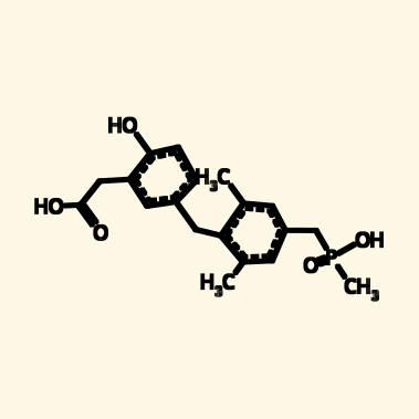 Cc1cc(CP(C)(=O)O)cc(C)c1Cc1ccc(O)c(CC(=O)O)c1